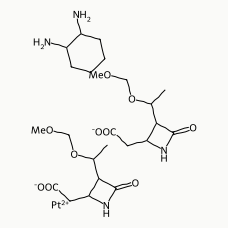 COCOC(C)C1C(=O)NC1CC(=O)[O-].COCOC(C)C1C(=O)NC1CC(=O)[O-].NC1CCCCC1N.[Pt+2]